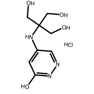 Cl.OCC(CO)(CO)Nc1cnnc(O)c1